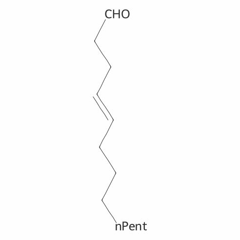 CCCCCCCCC=CCCC=O